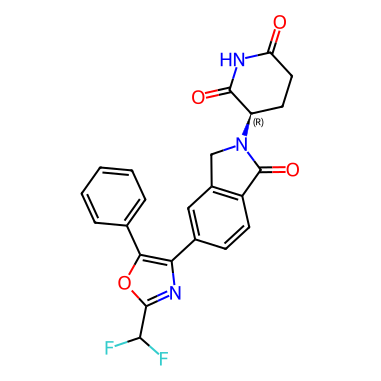 O=C1CC[C@@H](N2Cc3cc(-c4nc(C(F)F)oc4-c4ccccc4)ccc3C2=O)C(=O)N1